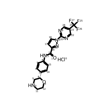 Cl.O=C(Nc1ccc([C@H]2CNCCO2)cc1)c1ccn(-c2ncc(C(F)(F)F)cn2)n1